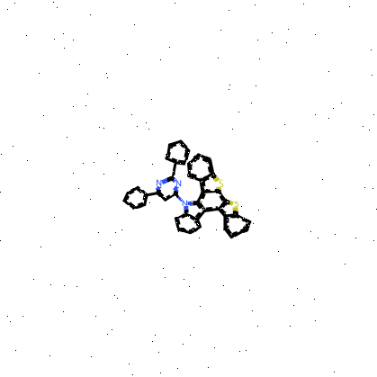 c1ccc(-c2cc(-n3c4ccccc4c4c5c6ccccc6sc5c5sc6ccccc6c5c43)nc(-c3ccccc3)n2)cc1